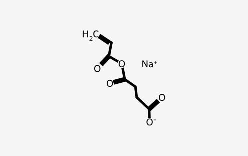 C=CC(=O)OC(=O)CCC(=O)[O-].[Na+]